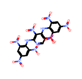 O=[N+]([O-])c1cc([N+](=O)[O-])c(Nc2ncc([N+](=O)[O-])c(Nc3c([N+](=O)[O-])cc([N+](=O)[O-])cc3[N+](=O)[O-])c2[N+](=O)[O-])c([N+](=O)[O-])c1